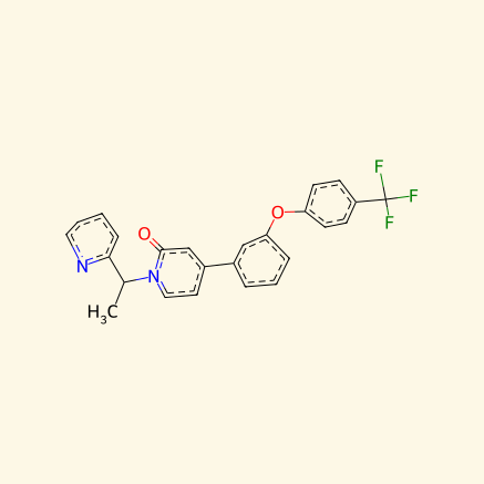 CC(c1ccccn1)n1ccc(-c2cccc(Oc3ccc(C(F)(F)F)cc3)c2)cc1=O